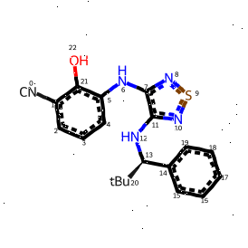 [C-]#[N+]c1cccc(Nc2nsnc2N[C@@H](c2ccccc2)C(C)(C)C)c1O